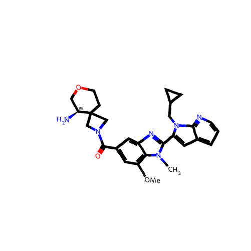 COc1cc(C(=O)N2CC3(CCOC[C@@H]3N)C2)cc2nc(-c3cc4cccnc4n3CC3CC3)n(C)c12